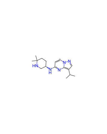 CC(C)c1cnn2[c]cc(N[C@@H]3CCC(C)(C)NC3)nc12